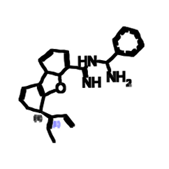 C=C/C(=C\C)[C@H]1CC=CC2=C1OC1C(C(=N)NC(N)c3ccccc3)=CC=CC21